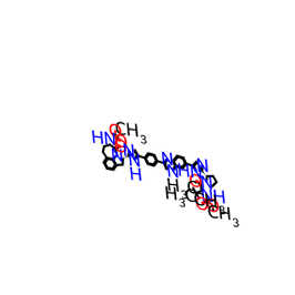 COC(=O)N[C@H]1CCc2cccc3c2N(C1=O)[C@H](c1ncc(-c2ccc(-c4cnc5cc(-c6cnc([C@@H]7CCCN7C(=O)[C@@H](NC(=O)OC)C(C)(C)C)[nH]6)ccc5n4)cc2)[nH]1)C3